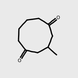 CC1CC(=O)CCCCC(=O)C1